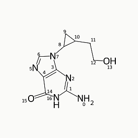 Nc1nc2c(ncn2C2CC2CCO)c(=O)[nH]1